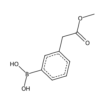 COC(=O)Cc1cccc(B(O)O)c1